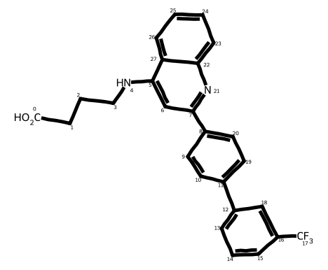 O=C(O)CCCNc1cc(-c2ccc(-c3cccc(C(F)(F)F)c3)cc2)nc2ccccc12